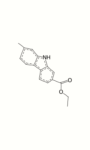 CCOC(=O)c1ccc2c(c1)[nH]c1cc(C)ccc12